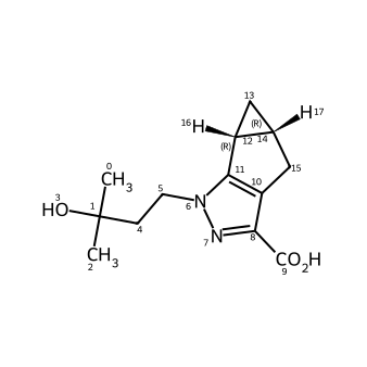 CC(C)(O)CCn1nc(C(=O)O)c2c1[C@@H]1C[C@@H]1C2